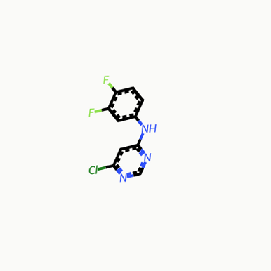 Fc1ccc(Nc2cc(Cl)ncn2)cc1F